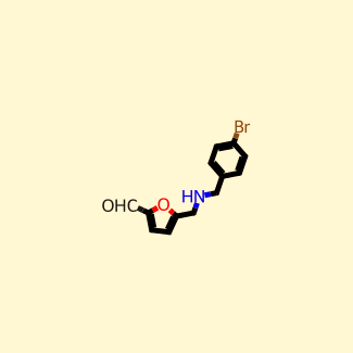 O=Cc1ccc(CNCc2ccc(Br)cc2)o1